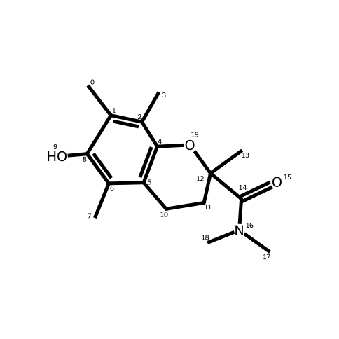 Cc1c(C)c2c(c(C)c1O)CCC(C)(C(=O)N(C)C)O2